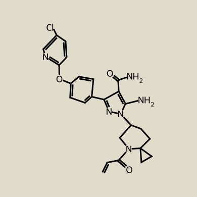 C=CC(=O)N1CC(n2nc(-c3ccc(Oc4ccc(Cl)cn4)cc3)c(C(N)=O)c2N)CCC12CC2